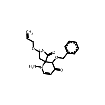 C=CCOCCC1(C(N)=O)C(OCc2ccccc2)C(=O)C=CN1N